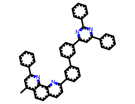 Cc1cc(-c2ccccc2)nc2c1ccc1ccc(-c3cccc(-c4cccc(-c5cc(-c6ccccc6)nc(-c6ccccc6)n5)c4)c3)nc12